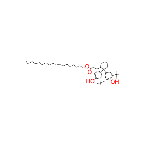 CCCCCCCCCCCCCCCCCCOC(=O)CCC1CCCCC1(c1ccc(O)c(C(C)(C)C)c1)c1ccc(O)c(C(C)(C)C)c1